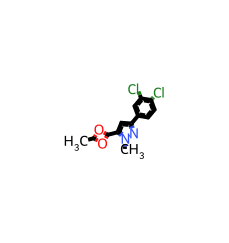 CC1OC(c2cc(-c3ccc(Cl)c(Cl)c3)nn2C)O1